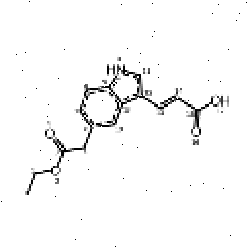 CCOC(=O)Cc1ccc2[nH]cc(/C=C/C(=O)O)c2c1